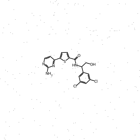 Nc1nccc(-c2ccc(C(=O)NC(CO)c3cc(Cl)cc(Cl)c3)s2)n1